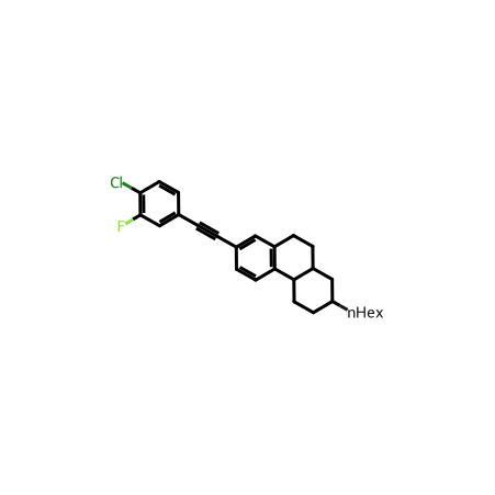 CCCCCCC1CCC2c3ccc(C#Cc4ccc(Cl)c(F)c4)cc3CCC2C1